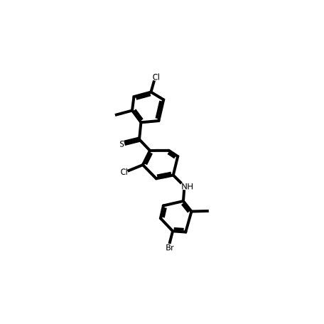 Cc1cc(Br)ccc1Nc1ccc(C(=S)c2ccc(Cl)cc2C)c(Cl)c1